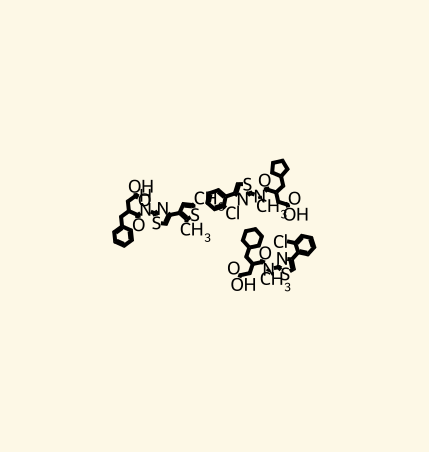 CN(C(=O)C(CC(=O)O)CC1CCCC1)c1nc(-c2ccccc2Cl)cs1.CN(C(=O)C(CC(=O)O)CC1CCCCC1)c1nc(-c2ccccc2Cl)cs1.Cc1cc(-c2csc(NC(=O)C(CC(=O)O)Cc3ccccc3)n2)c(C)s1